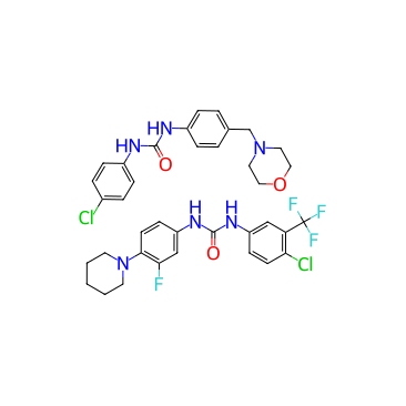 O=C(Nc1ccc(Cl)cc1)Nc1ccc(CN2CCOCC2)cc1.O=C(Nc1ccc(N2CCCCC2)c(F)c1)Nc1ccc(Cl)c(C(F)(F)F)c1